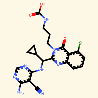 N#Cc1c(N)ncnc1NC(c1nc2cccc(Cl)c2c(=O)n1CCCNC(=O)O)C1CC1